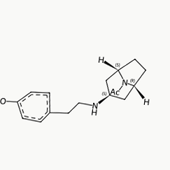 CC(=O)N1[C@@H]2CC[C@H]1C[C@H](NCCc1ccc(O)cc1)C2